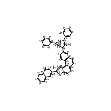 c1ccc(C2NC(c3ccc4c(ccc5ccc6c(c54)NC(c4ccc5ccccc5c4)S6)c3)N3C(c4ccccc4)N23)cc1